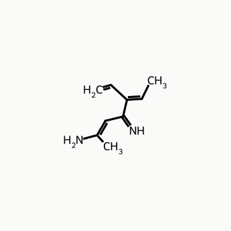 C=C/C(=C\C)C(=N)/C=C(\C)N